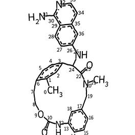 Cc1cc2ccc1CCOC(=O)Nc1cccc(c1)CN(C)C(=O)C2Nc1ccc2c(N)nccc2c1